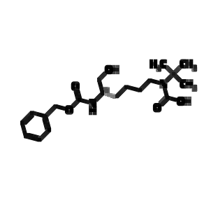 CC(C)(C)N(CCCC[C@@H](CO)NC(=O)OCc1ccccc1)C(=O)O